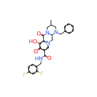 CC1CN(Cc2ccccc2)C2Cn3cc(C(=O)NCc4ccc(F)cc4F)c(=O)c(O)c3C(=O)N2C1